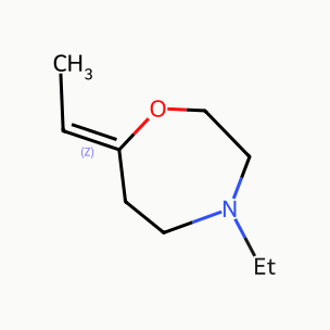 C/C=C1/CCN(CC)CCO1